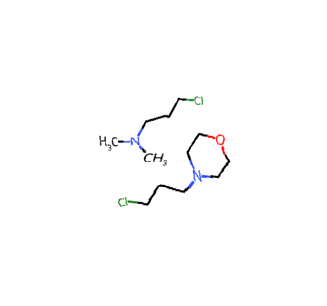 CN(C)CCCCl.ClCCCN1CCOCC1